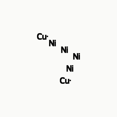 [Cu].[Cu].[Ni].[Ni].[Ni].[Ni]